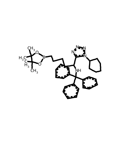 CC1(C)OB(CCCCC(NC(c2ccccc2)(c2ccccc2)c2ccccc2)c2nnnn2C2CCCCC2)OC1(C)C